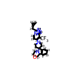 FC(F)(F)c1c(N2CCC(c3ccccc3)(N3CCOCC3)CC2)ccn2c(CC3CC3)nnc12